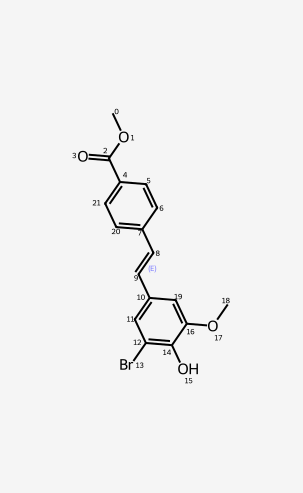 COC(=O)c1ccc(/C=C/c2cc(Br)c(O)c(OC)c2)cc1